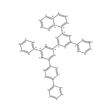 c1ccc(-c2ccc(-c3cc(-c4cc(-c5cccnc5)cc(-c5cccc6ccccc56)c4)nc(-c4ccccc4)n3)cc2)cc1